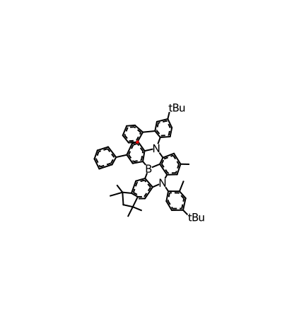 Cc1cc2c3c(c1)N(c1ccc(C(C)(C)C)cc1-c1ccccc1)c1ccc(-c4ccccc4)cc1B3c1cc3c(cc1N2c1ccc(C(C)(C)C)cc1C)C(C)(C)CC3(C)C